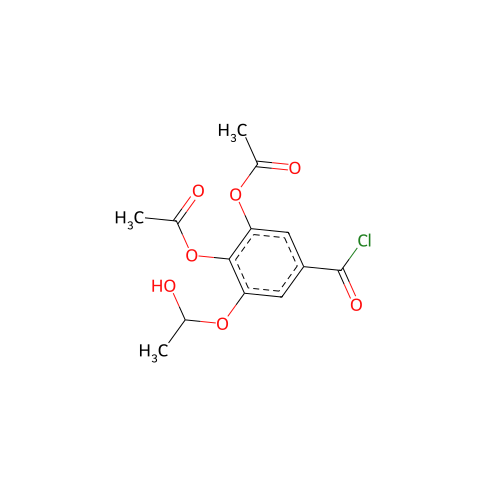 CC(=O)Oc1cc(C(=O)Cl)cc(OC(C)O)c1OC(C)=O